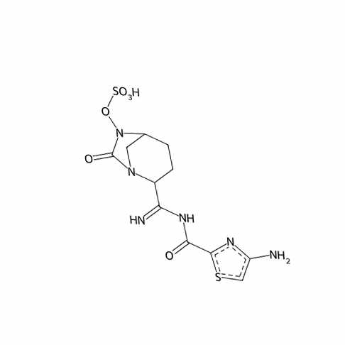 N=C(NC(=O)c1nc(N)cs1)C1CCC2CN1C(=O)N2OS(=O)(=O)O